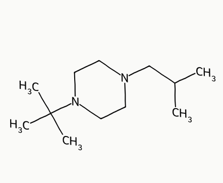 CC(C)CN1CCN(C(C)(C)C)CC1